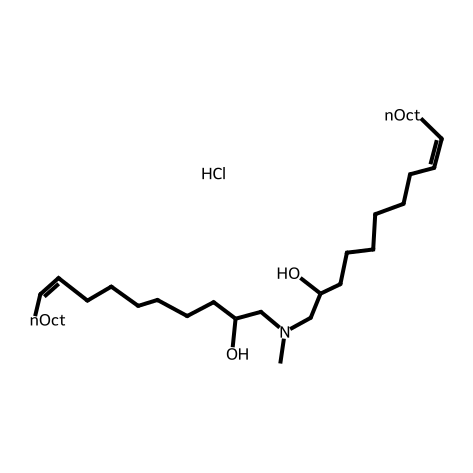 CCCCCCCC/C=C\CCCCCCC(O)CN(C)CC(O)CCCCCC/C=C\CCCCCCCC.Cl